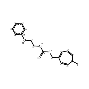 CC1C=CC=C(CSC(=S)OCCOc2ccccc2)C=C1